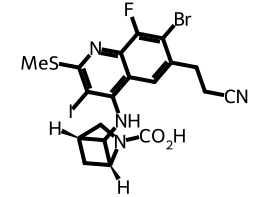 CSc1nc2c(F)c(Br)c(CCC#N)cc2c(NC2[C@@H]3C[C@H]2N(C(=O)O)C3)c1I